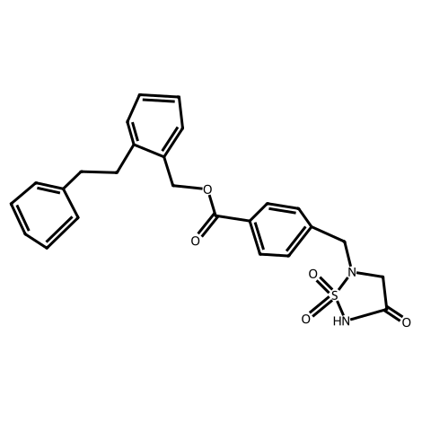 O=C1CN(Cc2ccc(C(=O)OCc3ccccc3CCc3ccccc3)cc2)S(=O)(=O)N1